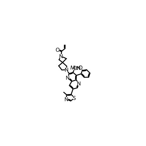 C=CC(=O)N1CC2(CCN(c3nc4cc(-c5scnc5C)cnc4c(-c4ccccc4OC)c3C#N)C2)C1